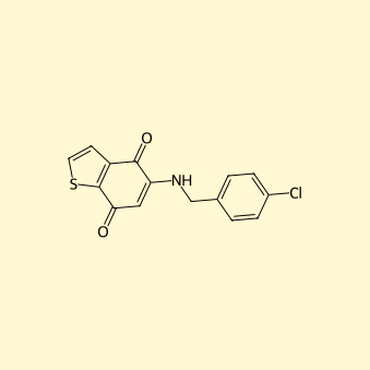 O=C1C(NCc2ccc(Cl)cc2)=CC(=O)c2sccc21